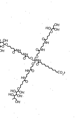 CC(CO)C(O)C(O)C(O)C(O)OCCCCC(=O)NCCCNC(=O)CCOCC(COCCC(=O)NCCCNC(=O)CCCCOC1OC(CO)C(O)C(O)C1O)(COCCC(=O)NCCCNC(=O)CCCCOC(O)[C@H](O)CO)NC(=O)CCCCCCCCCCC(=O)O